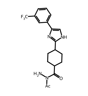 CC(=O)N(N)C(=O)C1CCC(c2nc(-c3cccc(C(F)(F)F)c3)c[nH]2)CC1